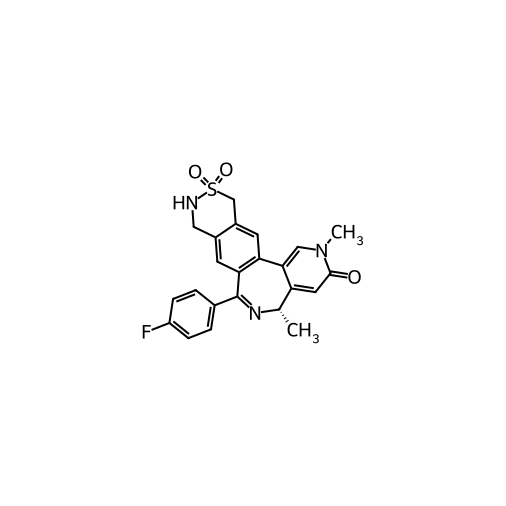 C[C@@H]1N=C(c2ccc(F)cc2)c2cc3c(cc2-c2cn(C)c(=O)cc21)CS(=O)(=O)NC3